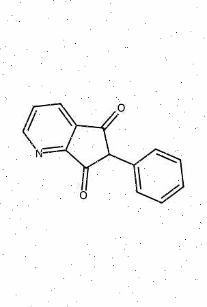 O=C1c2cccnc2C(=O)C1c1ccccc1